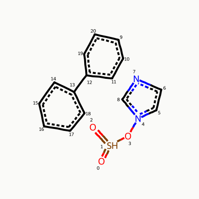 O=[SH](=O)On1ccnc1.c1ccc(-c2ccccc2)cc1